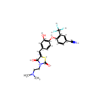 CN(C)CCN1C(=O)S/C(=C\c2ccc(Oc3ccc(C#N)cc3C(F)(F)F)c(O)c2)C1=O